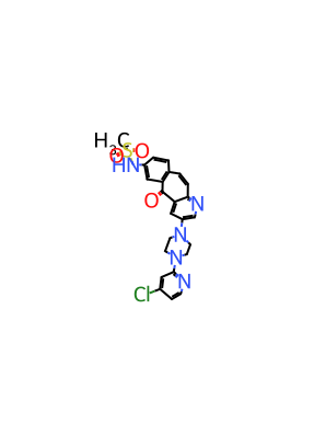 CS(=O)(=O)Nc1ccc2ccc3ncc(N4CCN(c5cc(Cl)ccn5)CC4)cc3c(=O)c2c1